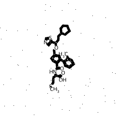 CSCCC(NC(=O)c1ccc(COC(CCC2CCCCC2)c2cncs2)cc1-c1ccccc1C)C(=O)O